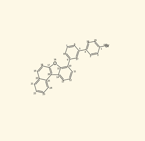 Brc1ccc(-c2cccc(-c3cccc4c3oc3ccc5ccccc5c34)c2)cc1